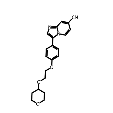 N#Cc1ccn2c(-c3ccc(OCCOC4CCOCC4)cc3)cnc2c1